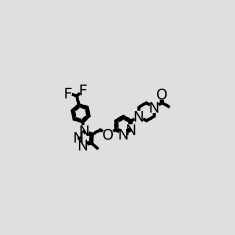 CC(=O)N1CCN(c2ccc(OCc3c(C)nnn3-c3ccc(C(F)F)cc3)nn2)CC1